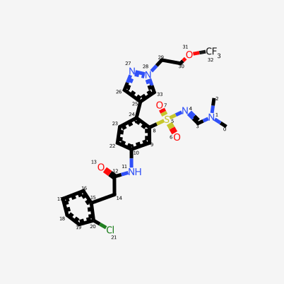 CN(C)C=NS(=O)(=O)c1cc(NC(=O)Cc2ccccc2Cl)ccc1-c1cnn(CCOC(F)(F)F)c1